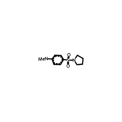 CNc1ccc(S(=O)(=O)N2CCCC2)cc1